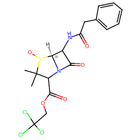 CC1(C)C(C(=O)OCC(Cl)(Cl)Cl)N2C(=O)C(NC(=O)Cc3ccccc3)[C@@H]2[S+]1[O-]